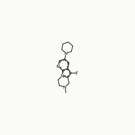 CN1CCn2c(c(F)c3cc(N4CCCCC4)cnc32)C1